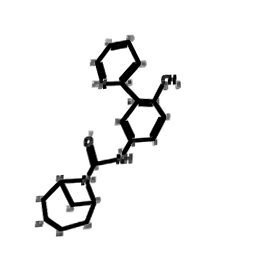 Cc1ccc(NC(=O)N2C3CCCCC2C3)cc1-c1ccccn1